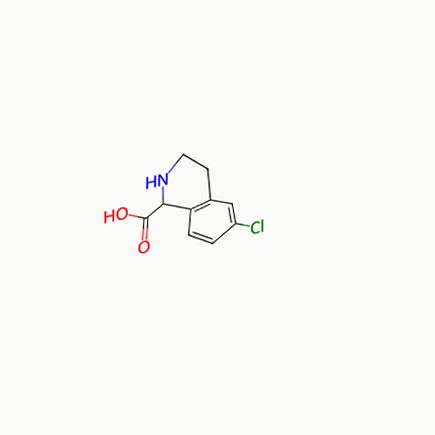 O=C(O)C1NCCc2cc(Cl)ccc21